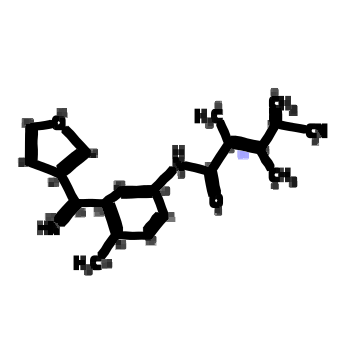 C=C(C#N)/C(C)=C(\C)C(=O)Nc1ccc(C)c(C(=N)c2ccoc2)c1